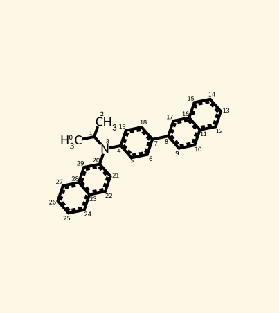 CC(C)N(c1ccc(-c2ccc3ccccc3c2)cc1)c1ccc2ccccc2c1